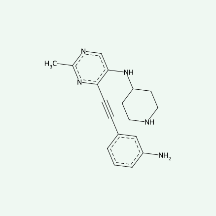 Cc1ncc(NC2CCNCC2)c(C#Cc2cccc(N)c2)n1